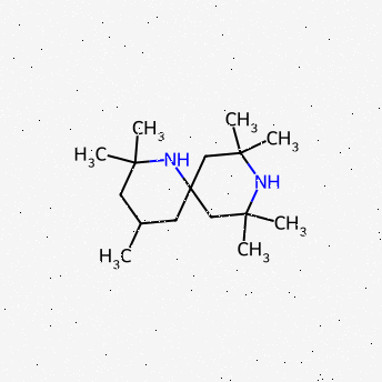 CC1CC(C)(C)NC2(C1)CC(C)(C)NC(C)(C)C2